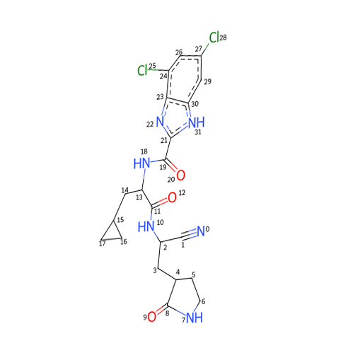 N#CC(CC1CCNC1=O)NC(=O)C(CC1CC1)NC(=O)c1nc2c(Cl)cc(Cl)cc2[nH]1